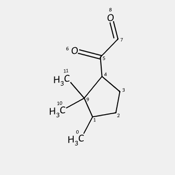 CC1CCC(C(=O)C=O)C1(C)C